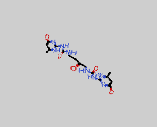 Cc1cc(=O)nc(NC(=O)NCCC(=O)CNC(=O)Nc2nc(=O)cc(C)[nH]2)[nH]1